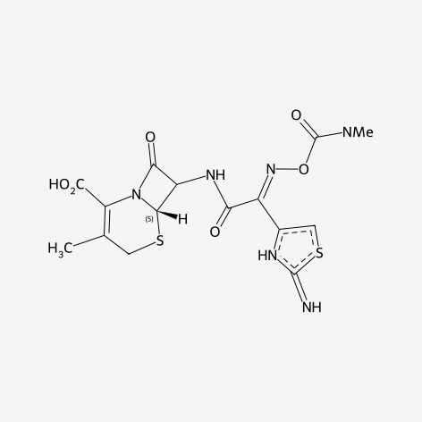 CNC(=O)ON=C(C(=O)NC1C(=O)N2C(C(=O)O)=C(C)CS[C@@H]12)c1csc(=N)[nH]1